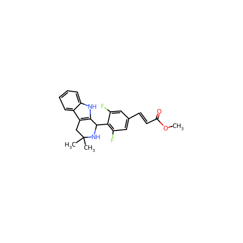 COC(=O)C=Cc1cc(F)c(C2NC(C)(C)Cc3c2[nH]c2ccccc32)c(F)c1